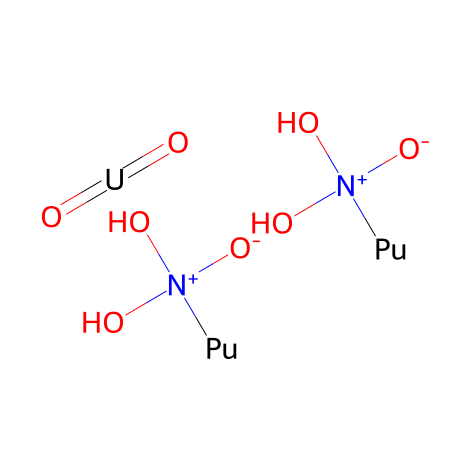 [O-][N+](O)(O)[Pu].[O-][N+](O)(O)[Pu].[O]=[U]=[O]